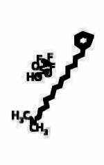 CN(C)CCCCCCCCCCCCCc1ccccc1.O=S(=O)(O)C(F)(F)F